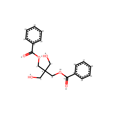 O=C(OCC(CO)(CO)COC(=O)c1ccccc1)c1ccccc1